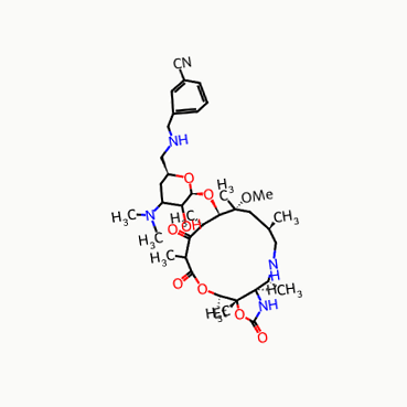 CC[C@@H]1OC(=O)C(C)C(=O)[C@H](C)[C@@H](O[C@@H]2O[C@H](CNCc3cccc(C#N)c3)CC(N(C)C)C2O)[C@](C)(OC)C[C@@H](C)CN[C@H](C)[C@H]2NC(=O)O[C@]12C